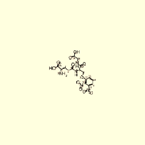 NC(CCC(=O)NC(CSc1cccc([N+](=O)[O-])c1[N+](=O)[O-])C(=O)NCC(=O)O)C(=O)O